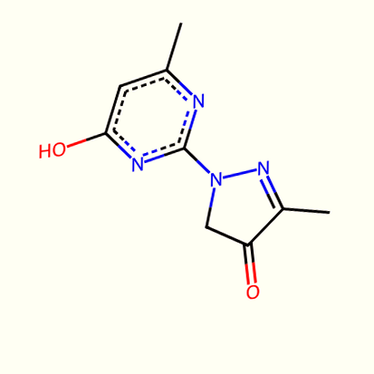 CC1=NN(c2nc(C)cc(O)n2)CC1=O